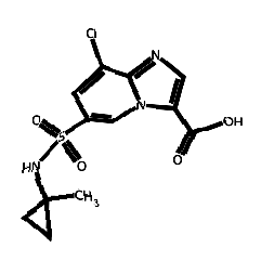 CC1(NS(=O)(=O)c2cc(Cl)c3ncc(C(=O)O)n3c2)CC1